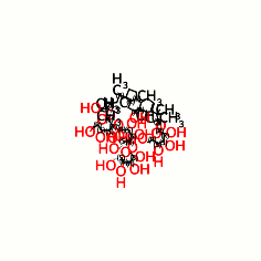 C[C@H](CC[C@@H](O[C@@H]1O[C@H](CO)[C@@H](O)[C@H](O)[C@H]1O[C@H]1O[C@@H](CO)[C@H](OC2O[C@@H](CO)[C@H](O)[C@@H](O)[C@@H]2O)[C@@H](O)[C@@H]1O)C(C)(C)O)C1CC[C@@]2(C)C3CC=C4C(CC[C@H](O[C@@H]5O[C@H](CO)[C@@H](O)[C@H](O)[C@H]5O)C4(C)C)[C@]3(C)[C@H](O)C[C@]12C